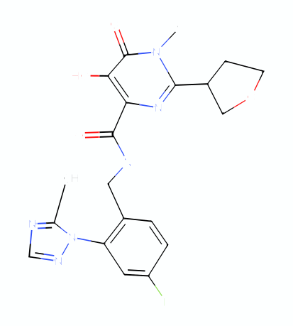 Cc1ncnn1-c1cc(F)ccc1CNC(=O)c1nc(C2CCOC2)n(C)c(=O)c1O